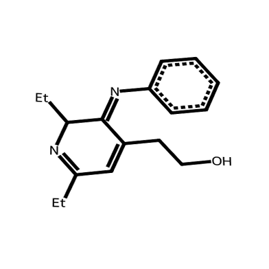 CCC1=NC(CC)C(=Nc2ccccc2)C(CCO)=C1